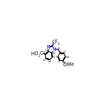 COc1ccc(Cn2c(C(F)(F)F)nc3c(C(=O)O)cccc32)cc1